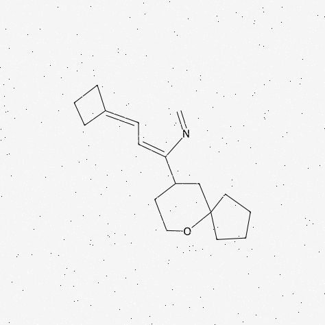 C=N/C(=C\C=C1CCC1)C1CCOC2(CCCC2)C1